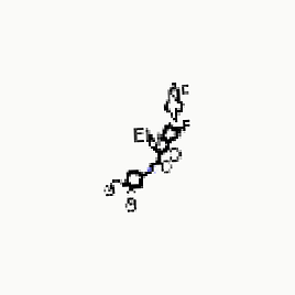 CCn1cc(C(=O)/C=C/c2ccc(=C=O)c(=C=O)c2)c(=O)c2cc(F)c(N3CCN(C(C)=O)CC3)cc21